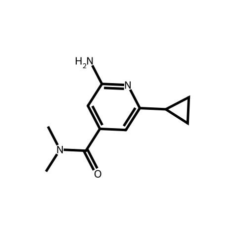 CN(C)C(=O)c1cc(N)nc(C2CC2)c1